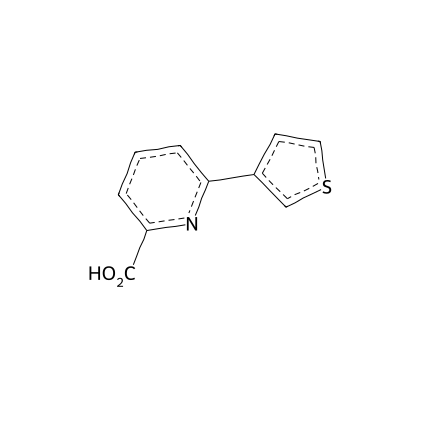 O=C(O)c1cccc(-c2ccsc2)n1